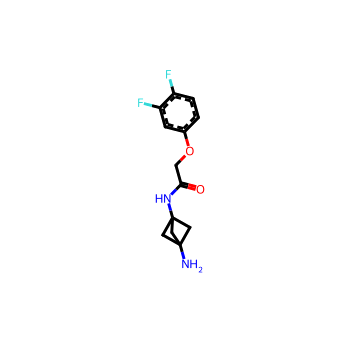 NC12CC(NC(=O)COc3ccc(F)c(F)c3)(C1)C2